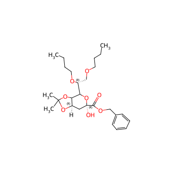 CCCCOC[C@@H](OCCCC)C1O[C@@](O)(C(=O)OCc2ccccc2)C[C@H]2OC(C)(C)OC12